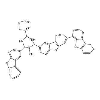 CN1C(c2ccc3oc4ccccc4c3c2)NC(c2ccccc2)NC1c1ccc2sc3cc(-c4cccc5c6c(oc45)C=CCC6)ccc3c2c1